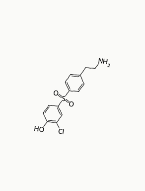 NCCc1ccc(S(=O)(=O)c2ccc(O)c(Cl)c2)cc1